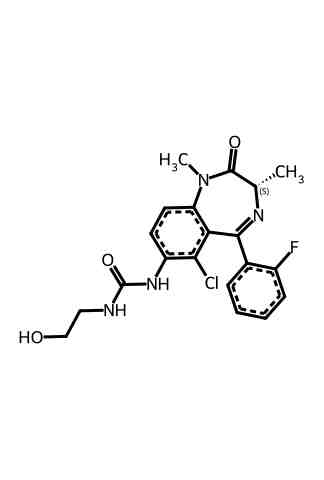 C[C@@H]1N=C(c2ccccc2F)c2c(ccc(NC(=O)NCCO)c2Cl)N(C)C1=O